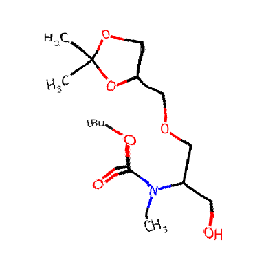 CN(C(=O)OC(C)(C)C)C(CO)COCC1COC(C)(C)O1